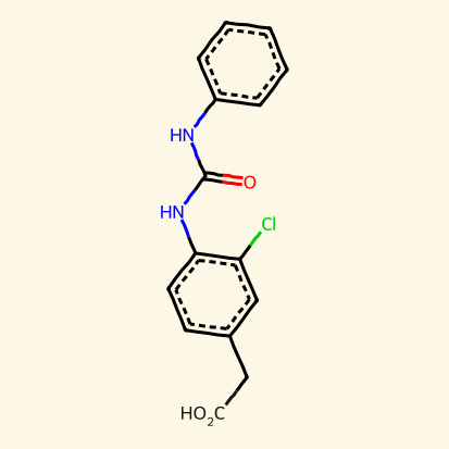 O=C(O)Cc1ccc(NC(=O)Nc2ccccc2)c(Cl)c1